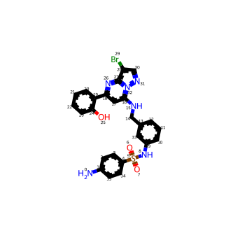 Nc1ccc(S(=O)(=O)Nc2cccc(CNc3cc(-c4ccccc4O)nc4c(Br)cnn34)c2)cc1